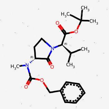 CC(C)[C@H](C(=O)OC(C)(C)C)N1CC[C@@H](N(C)C(=O)OCc2ccccc2)C1=O